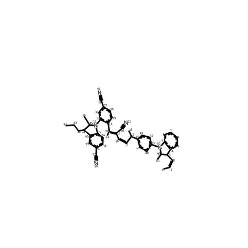 C/C=C\C1c2ccccc2N(c2ccc(C(C)/C=C\C(C#N)=C(/C)c3ccc(C#N)cc3N3c4ccc(C#N)cc4C(CCC)C3C)cc2)C1C